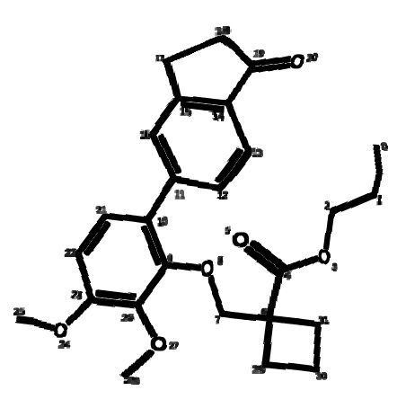 CCCOC(=O)C1(COc2c(-c3ccc4c(c3)CCC4=O)ccc(OC)c2OC)CCC1